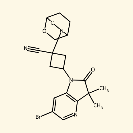 CC1(C)C(=O)N(C2CC(C#N)(N3CC4CCC3CO4)C2)c2cc(Br)cnc21